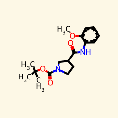 COc1ccccc1NC(=O)C1CCN(C(=O)OC(C)(C)C)C1